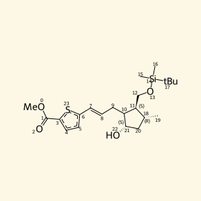 COC(=O)c1ccc(C=CCC2[C@@H](CO[Si](C)(C)C(C)(C)C)[C@H](C)C[C@@H]2O)s1